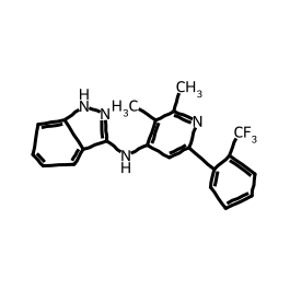 Cc1nc(-c2ccccc2C(F)(F)F)cc(Nc2n[nH]c3ccccc23)c1C